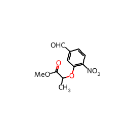 COC(=O)C(C)Oc1cc(C=O)ccc1[N+](=O)[O-]